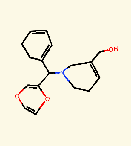 OCC1=CCCN(C(C2=CC=CCC2)C2=COC=CO2)C1